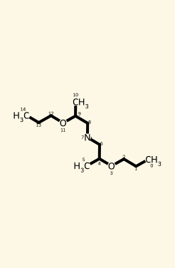 CCCOC(C)C[N]CC(C)OCCC